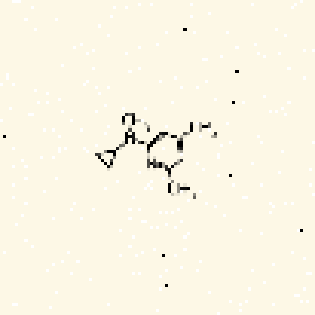 Cc1cc(C)nc(N(C)C2CC2)c1